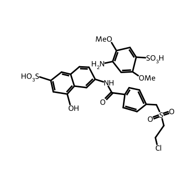 COc1cc(S(=O)(=O)O)c(OC)cc1N.O=C(Nc1ccc2cc(S(=O)(=O)O)cc(O)c2c1)c1ccc(CS(=O)(=O)CCCl)cc1